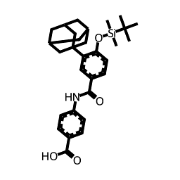 CC(C)(C)[Si](C)(C)Oc1ccc(C(=O)Nc2ccc(C(=O)O)cc2)cc1C12CC3CC(CC(C3)C1)C2